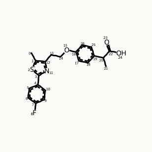 Cc1sc(-c2ccc(F)cc2)nc1CCOc1ccc(C(C)C(=O)O)cc1